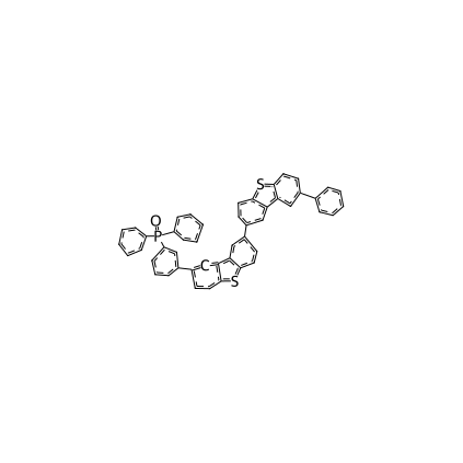 O=P(c1ccccc1)(c1ccccc1)c1cccc(-c2ccc3sc4ccc(-c5ccc6sc7ccc(-c8ccccc8)cc7c6c5)cc4c3c2)c1